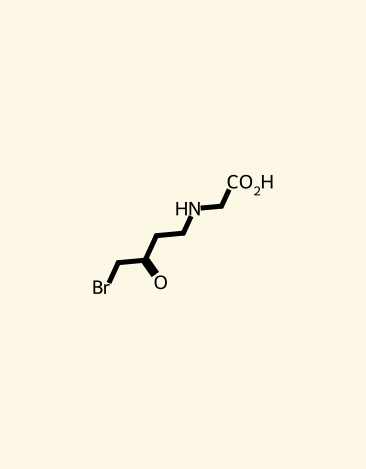 O=C(O)CNCCC(=O)CBr